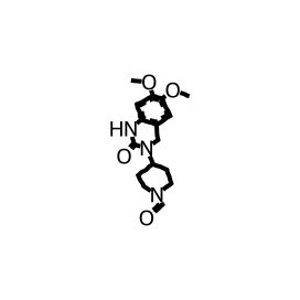 COc1cc2c(cc1OC)NC(=O)N(C1CCN(C=O)CC1)C2